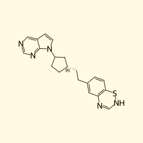 C1=Nc2cc(CC[C@@H]3CCC(n4ccc5cncnc54)C3)ccc2SN1